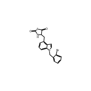 O=C1NC(Cc2cccc3c2ccn3Cc2ccccc2Br)C(=O)S1